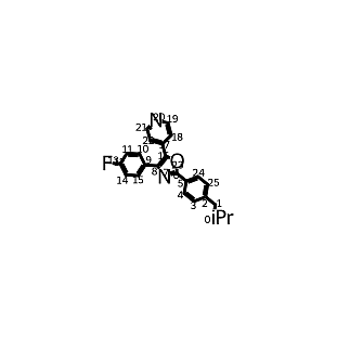 CC(C)Cc1ccc(-c2nc(-c3ccc(F)cc3)c(-c3ccncc3)o2)cc1